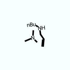 C=CCNCCCC.CN(C)C